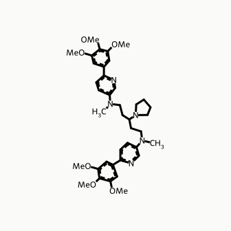 COc1cc(-c2ccc(N(C)CCC(CCN(C)c3ccc(-c4cc(OC)c(OC)c(OC)c4)nc3)N3CCCC3)cn2)cc(OC)c1OC